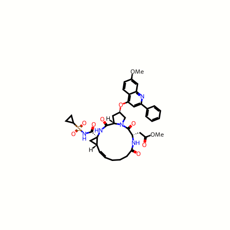 COC(=O)C[C@@H]1NC(=O)CCC/C=C\[C@@H]2C[C@@]2(C(=O)NS(=O)(=O)C2CC2)NC(=O)[C@@H]2C[C@@H](Oc3cc(-c4ccccc4)nc4cc(OC)ccc34)CN2C1=O